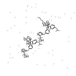 CCCCOC(=O)NS(=O)(=O)c1ccc(CC(C)C)cc1-c1ccc(Cn2ccnc2C(C)(C)O)cc1.COC(=O)NS(=O)(=O)c1ccc(CC(C)C)cc1-c1ccc(Cn2ccnc2C(C)(C)O)cc1